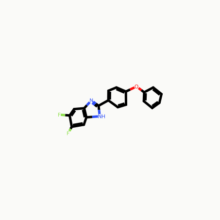 Fc1cc2nc(-c3ccc(Oc4ccccc4)cc3)[nH]c2cc1F